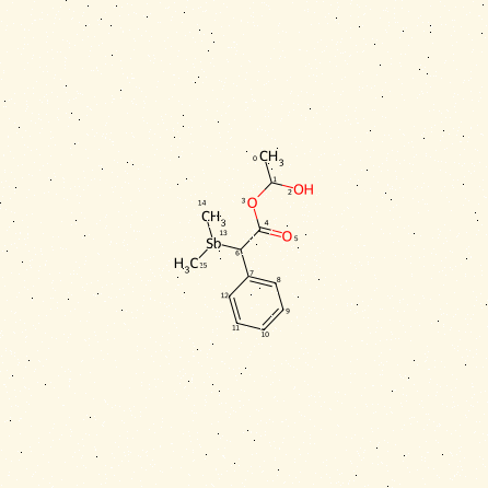 CC(O)OC(=O)[CH](c1ccccc1)[Sb]([CH3])[CH3]